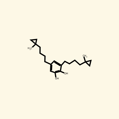 CC1(CCCCc2cc(O)c(O)c(CCCCC3(C)CC3)c2)CC1